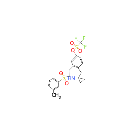 Cc1cccc(S(=O)(=O)C2Cc3cc(OS(=O)(=O)C(F)(F)F)ccc3CC3(CC3)N2)c1